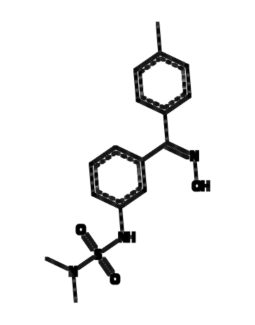 Cc1ccc(C(=NO)c2cccc(NS(=O)(=O)N(C)C)c2)cc1